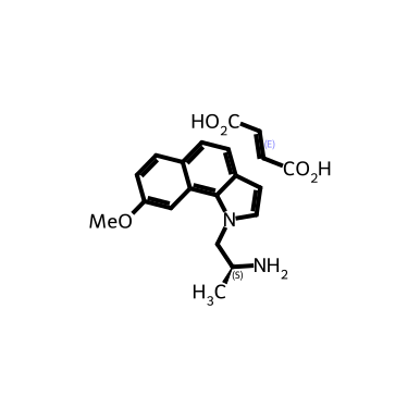 COc1ccc2ccc3ccn(C[C@H](C)N)c3c2c1.O=C(O)/C=C/C(=O)O